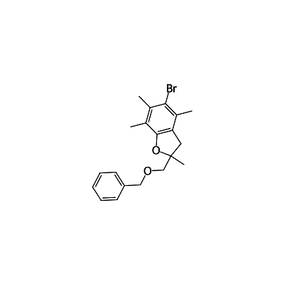 Cc1c(C)c2c(c(C)c1Br)CC(C)(COCc1ccccc1)O2